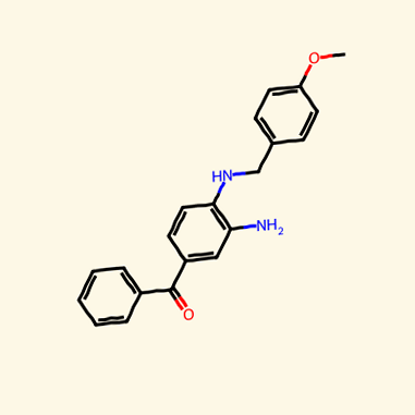 COc1ccc(CNc2ccc(C(=O)c3ccccc3)cc2N)cc1